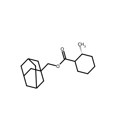 C[C@@H]1CCCCC1C(=O)OCC12CC3CC(CC(C3)C1)C2